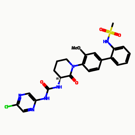 COc1cc(-c2ccccc2NS(C)(=O)=O)ccc1N1CCC[C@@H](NC(=O)Nc2cnc(Cl)cn2)C1=O